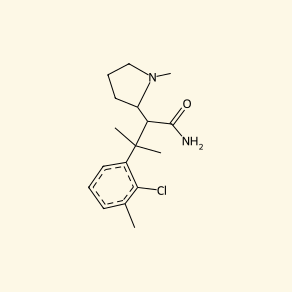 Cc1cccc(C(C)(C)C(C(N)=O)C2CCCN2C)c1Cl